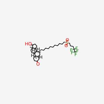 C[C@]12CCC(=O)C[C@@H]1C[C@H](CCCCCCCCCCCS(=O)(=O)CCCC(F)(F)C(F)(F)F)[C@@H]1[C@@H]2CC[C@]2(C)[C@@H](O)CC[C@@H]12